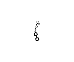 CCC(=O)COCCOc1ccc(-c2ccccc2)cc1